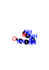 O=CCN1CCN(c2ccc(Nc3ncc(F)c(Nc4ccc5c(n4)NCCO5)n3)cc2)CC1